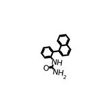 NC(=O)Nc1ccccc1-c1cccc2ccccc12